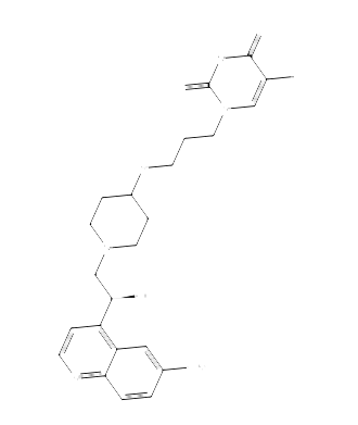 COc1ccc2nccc([C@H](O)CN3CCC(NCCCn4cc(F)c(=O)[nH]c4=O)CC3)c2c1